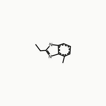 CCC1=Nc2c(C)cccc2[N]1